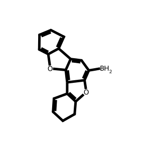 Bc1cc2c3ccccc3oc2c2c3c(oc12)CCC=C3